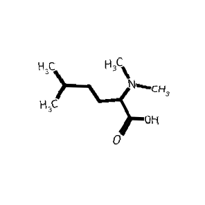 CC(C)CCC(C(=O)O)N(C)C